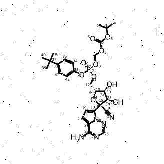 CC(C)OC(=O)OCO[P@@](=O)(OC[C@H]1O[C@@](C#N)(c2ccc3c(N)ncnn23)[C@H](O)[C@@H]1O)Oc1ccc(C(C)(C)C)cc1